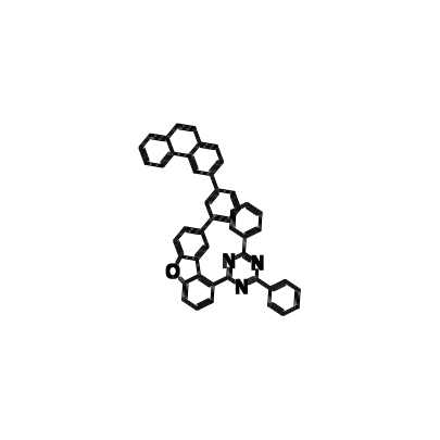 c1ccc(-c2nc(-c3ccccc3)nc(-c3cccc4oc5ccc(-c6cccc(-c7ccc8ccc9ccccc9c8c7)c6)cc5c34)n2)cc1